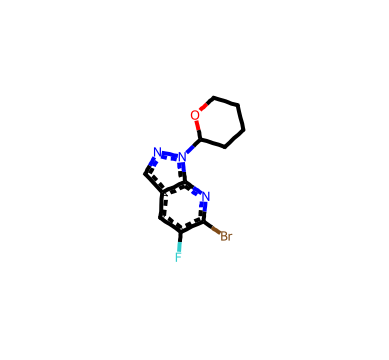 Fc1cc2cnn(C3CCCCO3)c2nc1Br